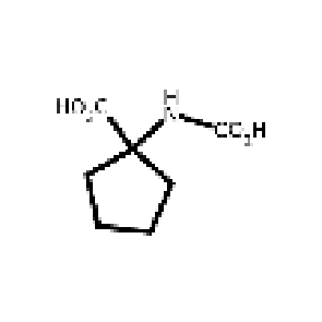 O=C(O)NC1(C(=O)O)CCCC1